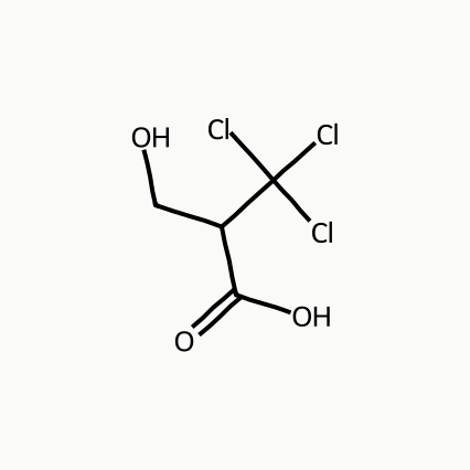 O=C(O)C(CO)C(Cl)(Cl)Cl